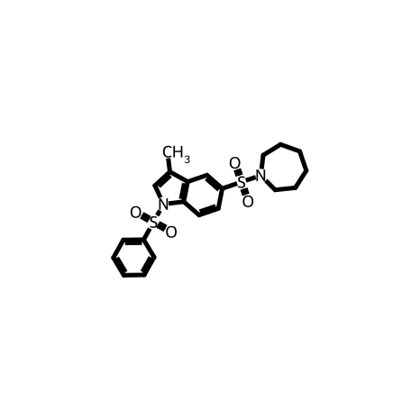 Cc1cn(S(=O)(=O)c2ccccc2)c2ccc(S(=O)(=O)N3CCCCCC3)cc12